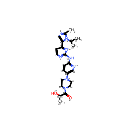 Cc1ncc(-c2ccnc(Nc3ccc(N4CCN(C(=O)[C@@H](C)O)CC4)cn3)n2)n1C(C)C